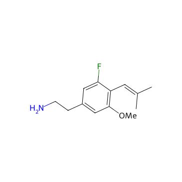 COc1cc(CCN)cc(F)c1C=C(C)C